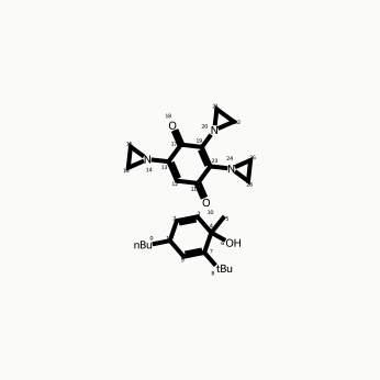 CCCCC1C=CC(C)(O)C(C(C)(C)C)=C1.O=C1C=C(N2CC2)C(=O)C(N2CC2)=C1N1CC1